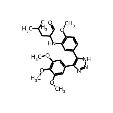 COc1ccc(-c2[nH]nnc2-c2cc(OC)c(OC)c(OC)c2)cc1NC(C=O)CC(C)C